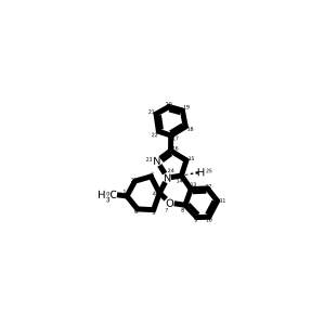 CC1CCC2(CC1)Oc1ccccc1[C@@H]1CC(c3ccccc3)=NN12